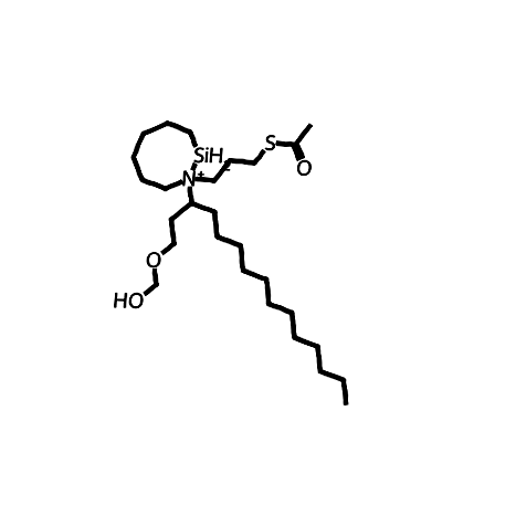 CCCCCCCCCCCCC(CCOCO)[N+]1(CCCSC(C)=O)CCCCCC[SiH2]1